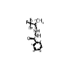 CC(CNNC(=O)c1ccccc1)C(F)(F)Br